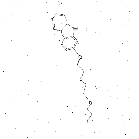 FCCOCCOCCOc1ccc2c(c1)NC1C=CN=CC21